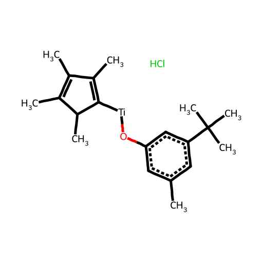 CC1=C(C)C(C)[C]([Ti][O]c2cc(C)cc(C(C)(C)C)c2)=C1C.Cl